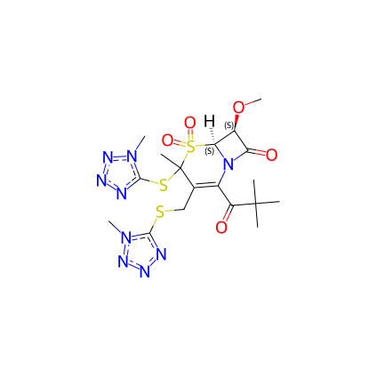 CO[C@H]1C(=O)N2C(C(=O)C(C)(C)C)=C(CSc3nnnn3C)C(C)(Sc3nnnn3C)S(=O)(=O)[C@@H]12